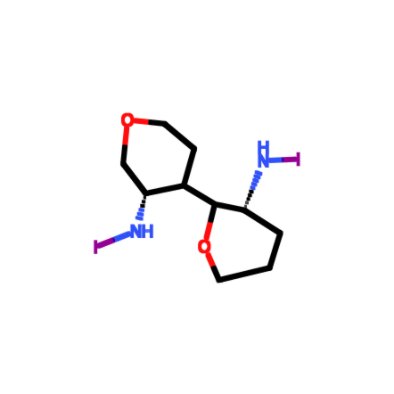 IN[C@@H]1COCCC1C1OCCC[C@H]1NI